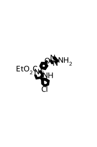 CCOC(=O)N1CCc2c([nH]c3c2=CC(Cl)CC=3)[C@@H]1c1ccc(Oc2cnc(N)cn2)cc1